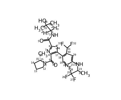 [2H]C([2H])(NC(=O)c1nc(C(=O)N2CCC[C@@H]2C)c(-c2cnc(NC(C)C(F)(F)F)cc2C(F)F)s1)C(C)(C)O